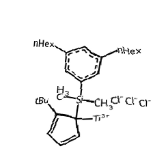 CCCCCCc1cc(CCCCCC)cc([Si](C)(C)[C]2([Ti+3])C=CC=C2C(C)(C)C)c1.[Cl-].[Cl-].[Cl-]